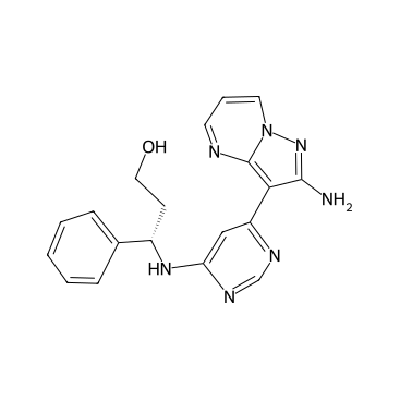 Nc1nn2cccnc2c1-c1cc(N[C@@H](CCO)c2ccccc2)ncn1